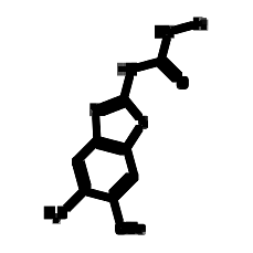 Bc1cc2nc(NC(=O)NCC)sc2cc1OC